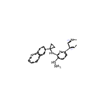 C/C=C(\C=N/C)c1ccc(NN)c(NC2(c3ccc4ncccc4c3)CC2)n1